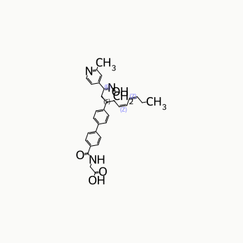 C=C(/C=C\C=C/CC)[C@H](C/C(=N\O)c1ccnc(C)c1)c1ccc(-c2ccc(C(=O)NCC(=O)O)cc2)cc1